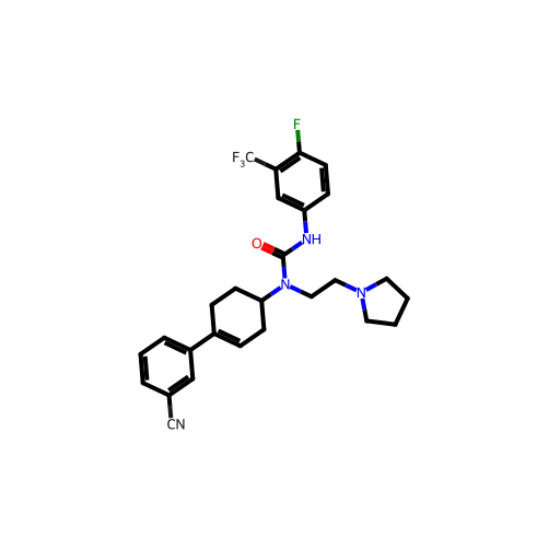 N#Cc1cccc(C2=CCC(N(CCN3CCCC3)C(=O)Nc3ccc(F)c(C(F)(F)F)c3)CC2)c1